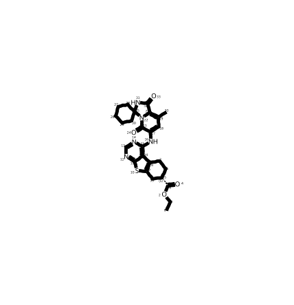 CCOC(=O)[C@H]1CCc2c(sc3ncnc(Nc4cc(C)c5n(c4=O)C4(CCCCC4)NC5=O)c23)C1